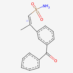 C/C(=C/S(N)(=O)=O)c1cccc(C(=O)c2ccccc2)c1